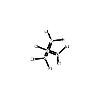 CC[S](CC)=[Ir]([Cl])(=[S](CC)CC)=[S](CC)CC